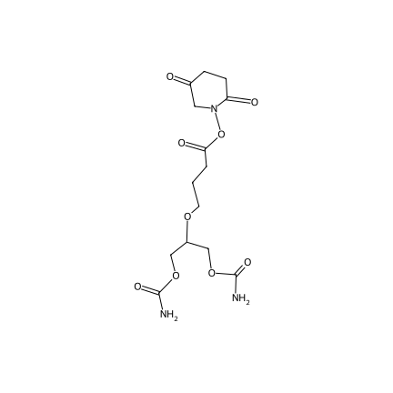 NC(=O)OCC(COC(N)=O)OCCCC(=O)ON1CC(=O)CCC1=O